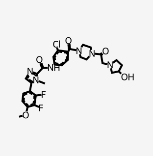 COc1ccc(-c2cnc(C(=O)Nc3ccc(C(=O)N4CCN(C(=O)CN5CCC(O)C5)CC4)c(Cl)c3)n2C)c(F)c1F